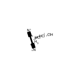 Cl.Cl.Cl.N#CC#N.P